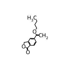 C=C(OCCCC)c1ccc2c(c1)COC2=O